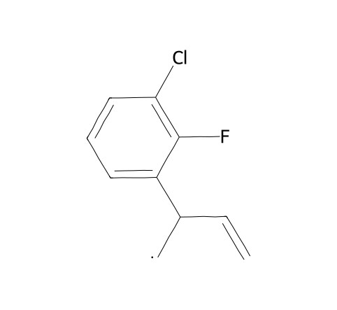 [CH2]C(C=C)c1cccc(Cl)c1F